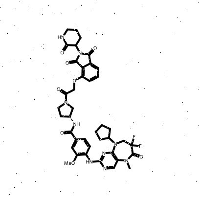 COc1cc(C(=O)N[C@@H]2CCN(C(=O)COc3cccc4c3C(=O)N(C3CCCNC3=O)C4=O)C2)ccc1Nc1ncc2c(n1)N(C1CCCC1)CC(F)(F)C(=O)N2C